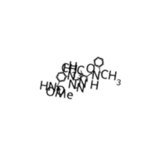 CONC(=O)c1ccc(C)c(Nc2ncnn3cc(C(=O)NC(C)c4ccccc4)c(C)c23)c1